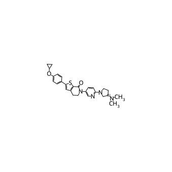 CN(C)[C@H]1CCN(c2ccc(N3CCc4cc(-c5ccc(OC6CC6)cc5)sc4C3=O)cn2)C1